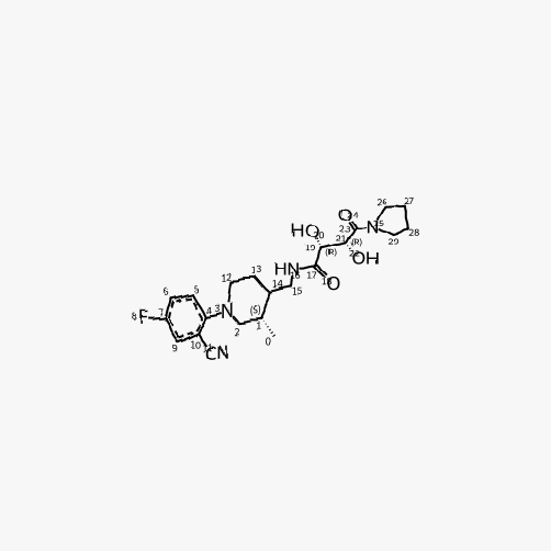 C[C@@H]1CN(c2ccc(F)cc2C#N)CCC1CNC(=O)[C@H](O)[C@@H](O)C(=O)N1CCCC1